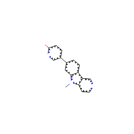 Cn1c2ccncc2c2ccc(-c3ccc(O)nc3)cc21